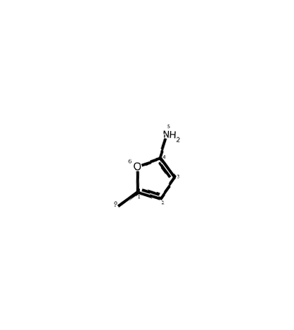 [CH2]c1ccc(N)o1